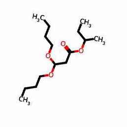 CCCCOC(CC(=O)OC(C)CC)OCCCC